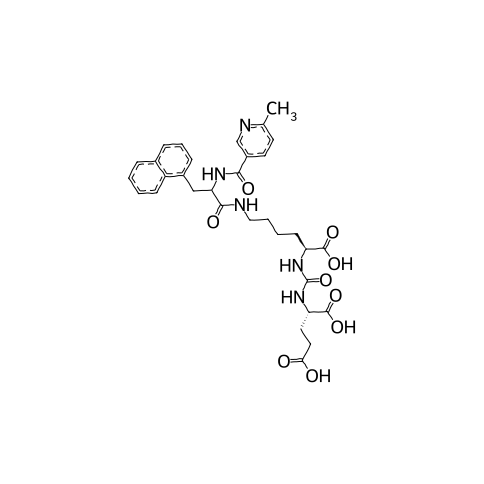 Cc1ccc(C(=O)NC(Cc2cccc3ccccc23)C(=O)NCCCC[C@H](NC(=O)N[C@@H](CCC(=O)O)C(=O)O)C(=O)O)cn1